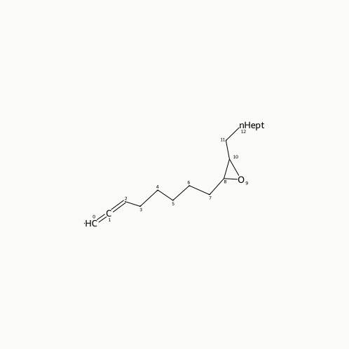 [CH]=C=CCCCCCC1OC1CCCCCCCC